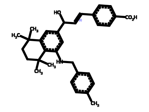 Cc1ccc(CNc2cc(C(O)/C=C/c3ccc(C(=O)O)cc3)cc3c2C(C)(C)CCC3(C)C)cc1